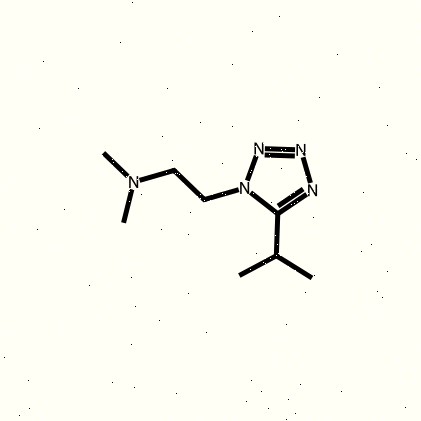 CC(C)c1nnnn1CCN(C)C